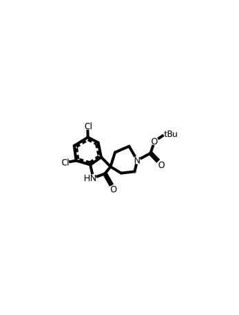 CC(C)(C)OC(=O)N1CCC2(CC1)C(=O)Nc1c(Cl)cc(Cl)cc12